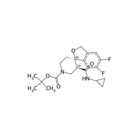 CC(C)(C)OC(=O)N1CC[C@@]2(OCc3cc(F)c(F)cc32)[C@@H](C(=O)NC2CC2)C1